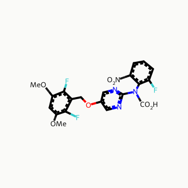 COc1cc(OC)c(F)c(COc2cnc(N(C(=O)O)c3c(F)cccc3[N+](=O)[O-])nc2)c1F